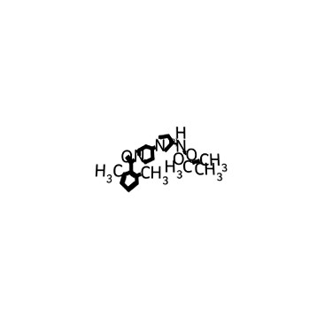 Cc1cccc(C)c1C(=O)N1CCC(N2CC[C@@H](NC(=O)OC(C)(C)C)C2)CC1